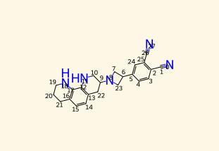 N#Cc1ccc(C2CN(C3CNc4c(ccc5c4NCCC5)C3)C2)cc1C#N